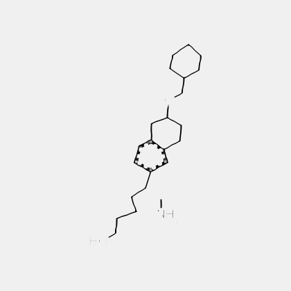 NC[C@H](CCCCO)c1ccc2c(c1)CCC(OCC1CCCCC1)C2